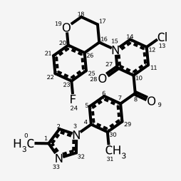 Cc1cn(-c2ccc(C(=O)c3cc(Cl)cn(C4CCOc5ccc(F)cc54)c3=O)cc2C)cn1